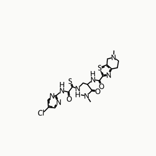 CN1CCc2nc(C(=O)NC(CNC(=S)C(=O)Nc3ncc(Cl)cn3)C(=O)N(C)C)sc2C1